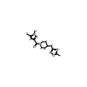 Cc1nc(CC2CCN(C(=O)c3cc(C)n(C)n3)CC2)no1